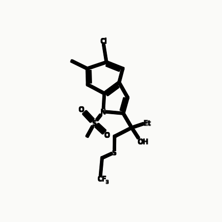 CCC(O)(CSCC(F)(F)F)c1cc2cc(Cl)c(C)cc2n1S(C)(=O)=O